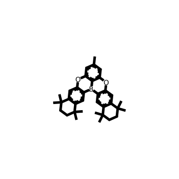 Cc1cc2c3c(c1)Oc1cc4c(cc1B3c1cc3c(cc1O2)C(C)(C)CCC3(C)C)C(C)(C)CCC4(C)C